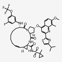 COc1ccc2c(O[C@@H]3C[C@H]4C(=O)N[C@]5(C(=O)NS(=O)(=O)C6(C)CC6)C[C@H]5/C=C\CCCCC[C@H](Nc5cc(F)cc(OC(F)(F)F)c5)C(=O)N4C3)cc(-c3nc(C(C)C)cs3)nc2c1C